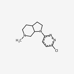 CN1CCC2CCN(c3ccc(Cl)nn3)C2C1